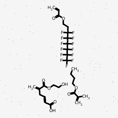 C=C(C)C(=O)OCCCC.C=C(CC=CC(=O)O)C(=O)OCCO.C=CC(=O)OCCC(F)(F)C(F)(F)C(F)(F)C(F)(F)C(F)(F)C(F)(F)F